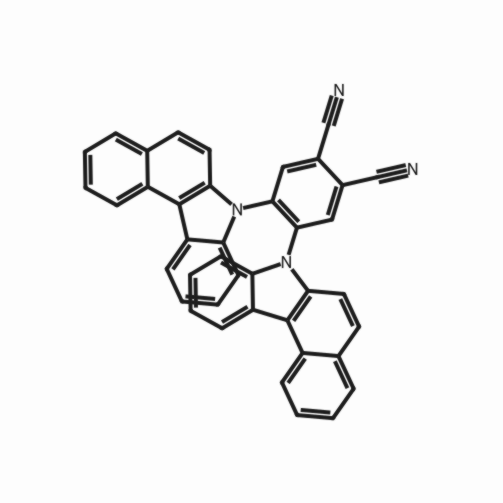 N#Cc1cc(-n2c3ccccc3c3c4ccccc4ccc32)c(-n2c3ccccc3c3c4ccccc4ccc32)cc1C#N